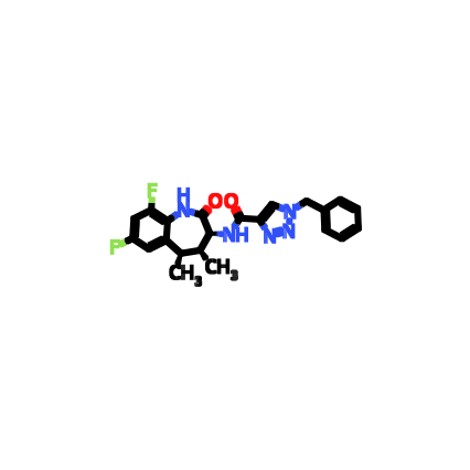 C[C@@H]1[C@H](NC(=O)c2cn(Cc3ccccc3)nn2)C(=O)Nc2c(F)cc(F)cc2[C@@H]1C